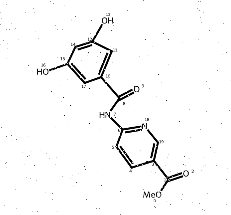 COC(=O)c1ccc(NC(=O)c2cc(O)cc(O)c2)nc1